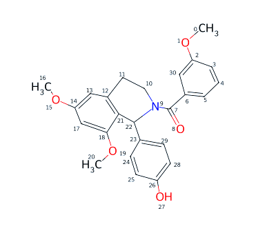 COc1cccc(C(=O)N2CCc3cc(OC)cc(OC)c3C2c2ccc(O)cc2)c1